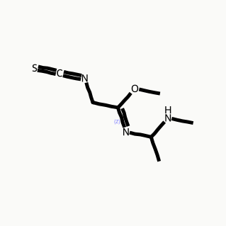 CNC(C)/N=C(/CN=C=S)OC